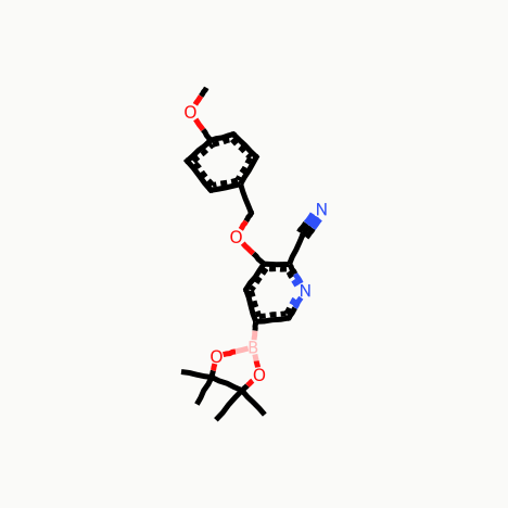 COc1ccc(COc2cc(B3OC(C)(C)C(C)(C)O3)cnc2C#N)cc1